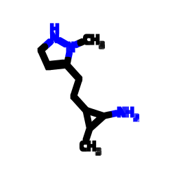 CC1C(N)C1CCC1=CCNN1C